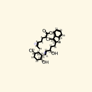 O=C(O)CCC/C=C\C[C@@H]1[C@@H](/C=C/C(O)CCc2sc3ccccc3c2Cl)[C@H](O)CC[C@H]1Cl